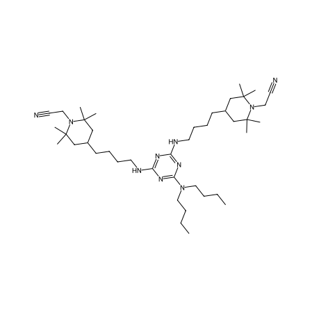 CCCCN(CCCC)c1nc(NCCCCC2CC(C)(C)N(CC#N)C(C)(C)C2)nc(NCCCCC2CC(C)(C)N(CC#N)C(C)(C)C2)n1